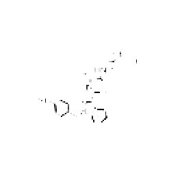 CC(C)(C)[C@H](NC(=O)c1nn(Cc2ccc(C#N)cc2)c2c(F)cccc12)C(=O)NC[C@H]1C[C@H]1CO